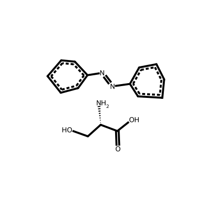 N[C@@H](CO)C(=O)O.c1ccc(N=Nc2ccccc2)cc1